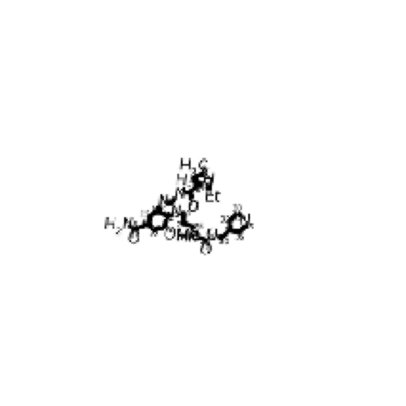 CCn1nc(C)cc1C(=O)Nc1nc2cc(C(N)=O)cc(OC)c2n1CCCNC(=O)OCc1ccncc1